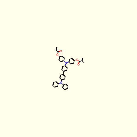 C=CC(=O)Oc1ccc(N(c2ccc(OC(=O)C(=C)C)cc2)c2ccc(-c3ccc(N(c4ccccc4)c4ccccc4)cc3)cc2)cc1